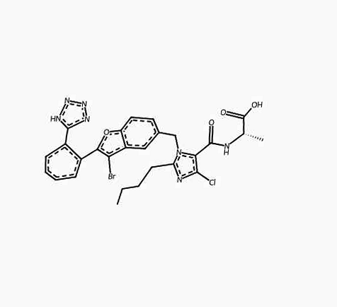 CCCCc1nc(Cl)c(C(=O)N[C@@H](C)C(=O)O)n1Cc1ccc2oc(-c3ccccc3-c3nnn[nH]3)c(Br)c2c1